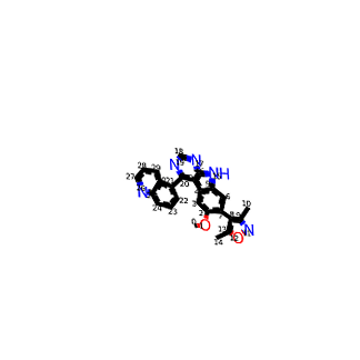 COc1cc2c(cc1-c1c(C)noc1C)[nH]c1ncnc(-c3cccc4ncccc34)c12